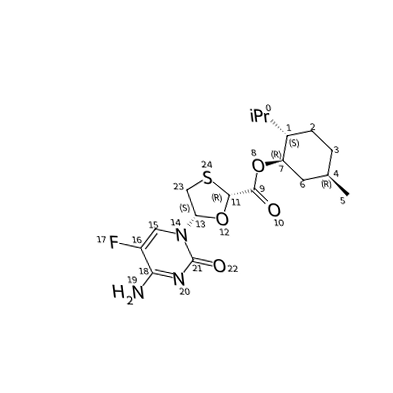 CC(C)[C@@H]1CC[C@@H](C)C[C@H]1OC(=O)[C@@H]1O[C@H](n2cc(F)c(N)nc2=O)CS1